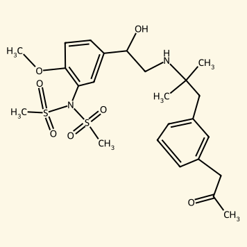 COc1ccc(C(O)CNC(C)(C)Cc2cccc(CC(C)=O)c2)cc1N(S(C)(=O)=O)S(C)(=O)=O